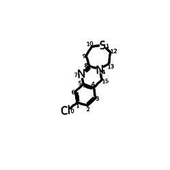 Clc1ccc2c(c1)N=C1CCSCCN1C2